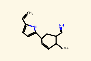 C=Cc1ccc(C2C=CC(NC)C(C=N)C2)[nH]1